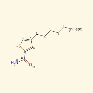 CCCCCCCCCCCCc1csc(C(N)=O)c1